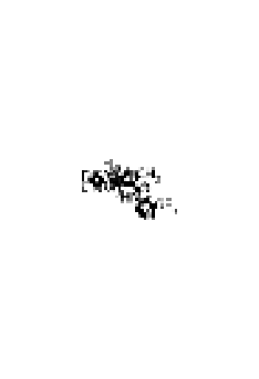 Cn1cc(S(=O)(=O)NC2(C)CC(F)(F)C2)c(F)c1C(=O)Nc1ccnc(C(F)(F)F)c1